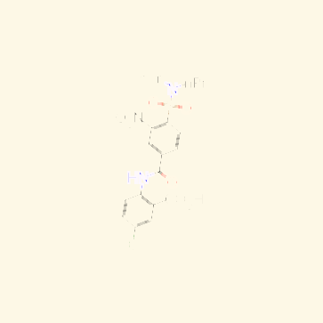 CCCN(CCC)S(=O)(=O)c1ccc(C(=O)Nc2ccc(Cl)cc2C(=O)O)cc1[N+](=O)[O-]